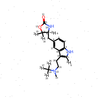 [2H]c1[nH]c2ccc(C[C@]3([2H])NC(=O)OC3([2H])[2H])cc2c1CCN(C)C([2H])([2H])[2H]